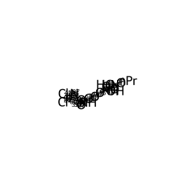 CCCOCCNC(=O)[C@H](O)[C@@H](O)C(=O)NCCOCCOCCOCCNS(=O)(=O)c1cccc([C@@H]2CN(C)Cc3c(Cl)cc(Cl)cc32)c1